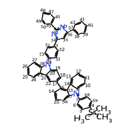 C[Si](C)(C)c1ccc(-n2c3ccccc3c3c(-c4ccc5c(c4)c4ccccc4n5-c4ccc(-c5cc(-c6ccccc6)nc(-c6ccccc6)n5)cc4)cccc32)cc1